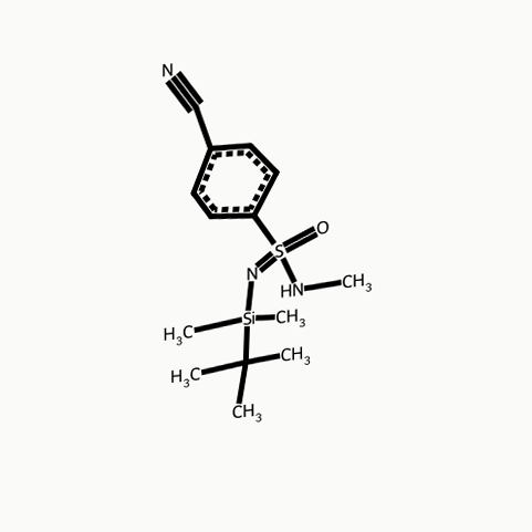 CNS(=O)(=N[Si](C)(C)C(C)(C)C)c1ccc(C#N)cc1